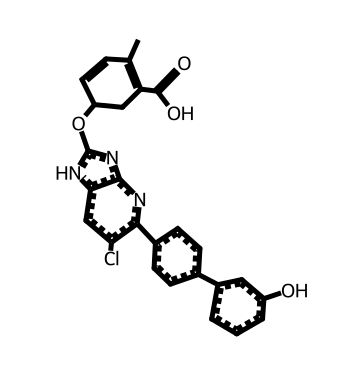 CC1=C(C(=O)O)CC(Oc2nc3nc(-c4ccc(-c5cccc(O)c5)cc4)c(Cl)cc3[nH]2)C=C1